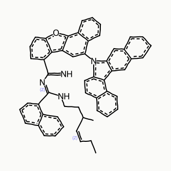 CC/C=C\C(C)CCN/C(=N\C(=N)c1cccc2oc3c4ccccc4c(-n4c5cc6ccccc6cc5c5c6ccccc6ccc54)cc3c12)c1cccc2ccccc12